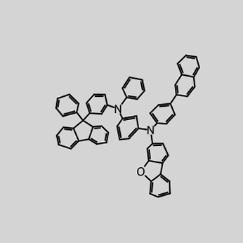 c1ccc(N(c2cccc(N(c3ccc(-c4ccc5ccccc5c4)cc3)c3ccc4c(c3)oc3ccccc34)c2)c2cccc(C3(c4ccccc4)c4ccccc4-c4ccccc43)c2)cc1